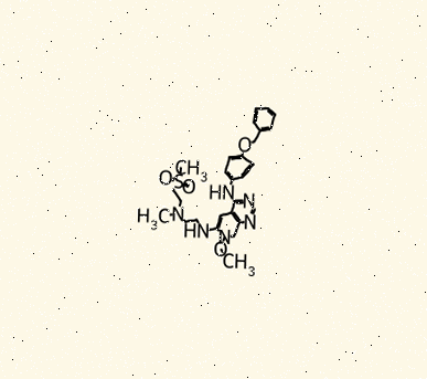 CON1Cc2ncnc(Nc3ccc(OCc4ccccc4)cc3)c2C=C1NCCN(C)CCS(C)(=O)=O